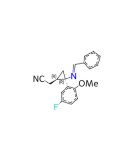 COc1ccc(F)cc1[C@@]1(N=Cc2ccccc2)C[C@@H]1CC#N